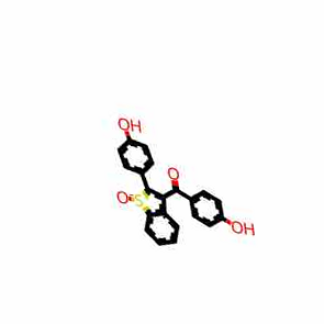 O=C(c1ccc(O)cc1)c1c(-c2ccc(O)cc2)[s+]([O-])c2ccccc12